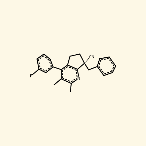 Cc1nc2c(c(-c3cccc(F)c3)c1C)CC[C@@]2(C#N)Cc1ccccc1